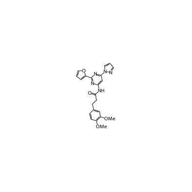 COc1ccc(CCC(=O)Nc2cc(-n3cccn3)nc(-c3ccco3)n2)cc1OC